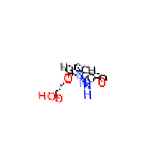 CC(C)N(Cc1ccccc1OCCCCCC(=O)O)c1n[nH]c2cc(-c3ccco3)ccc12